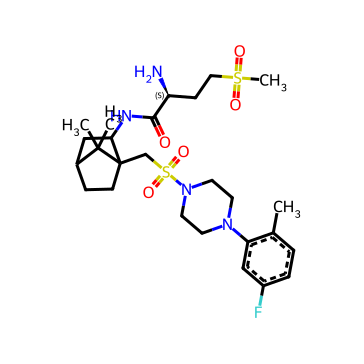 Cc1ccc(F)cc1N1CCN(S(=O)(=O)CC23CCC(CC2NC(=O)[C@@H](N)CCS(C)(=O)=O)C3(C)C)CC1